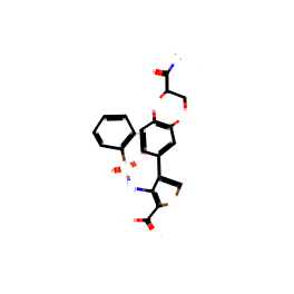 NC(=O)C1COc2cc(-c3csc(C(=O)O)c3NS(=O)(=O)c3ccccc3)ccc2O1